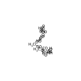 Cc1c(OCC[C@H](C)C2CCN(CC(=O)N3CCN(c4cc5c(cc4F)C(=O)N(C4CCC(=O)NC4=O)C5=O)CC3)CC2)cccc1-c1ccc(N2CCc3cccc(C(=O)Nc4nc5ccccc5s4)c3C2)nc1C(=O)O